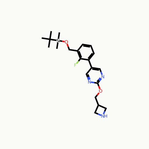 CC(C)(C)[Si](C)(C)OCc1cccc(-c2cnc(OCC3CNC3)nc2)c1F